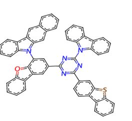 c1ccc2cc3c(cc2c1)c1ccccc1n3-c1cc(-c2nc(-c3ccc4c(c3)sc3ccccc34)nc(-n3c4ccccc4c4ccccc43)n2)cc2c1oc1ccccc12